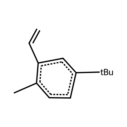 C=Cc1cc(C(C)(C)C)ccc1C